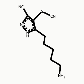 N#CSc1c(C#N)n[nH]c1CCCCCN